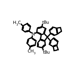 Cc1ccc(N(c2ccc(C)cc2)c2cc(C(C)(C)C)cc3c2-c2ccc(C(C)(C)C)cc2C3(c2ccc3c(c2)CC3)c2ccc3c(c2)CC3)cc1